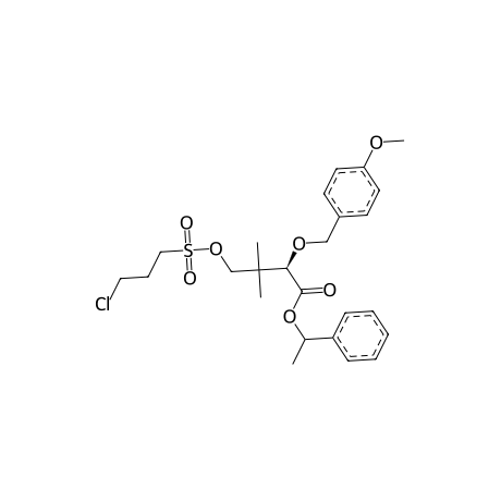 COc1ccc(CO[C@@H](C(=O)OC(C)c2ccccc2)C(C)(C)COS(=O)(=O)CCCCl)cc1